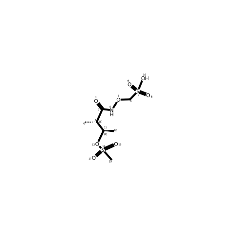 C[C@H](C(=O)NOCS(=O)(=O)O)[C@@H](C)OS(C)(=O)=O